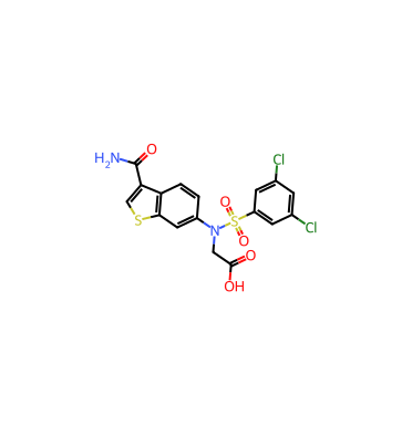 NC(=O)c1csc2cc(N(CC(=O)O)S(=O)(=O)c3cc(Cl)cc(Cl)c3)ccc12